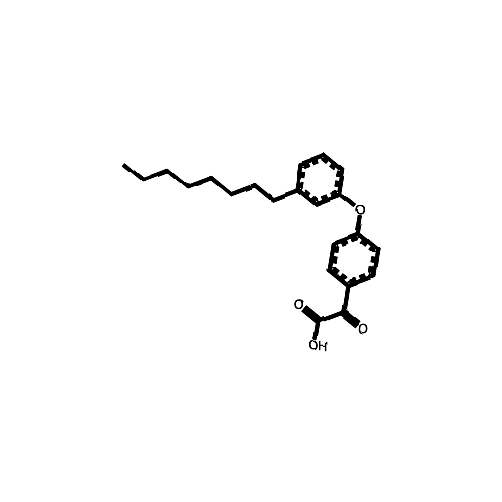 CCCCCCCCc1cccc(Oc2ccc(C(=O)C(=O)O)cc2)c1